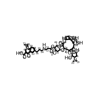 CO[C@]1(C)C[C@H](O[C@H]2[C@H](C)[C@@H](O[C@@H]3O[C@H](C)C[C@H](N(C)C)[C@H]3O)[C@](C)(O)C[C@@H](C)/C(=N\O)[C@@H](O)[C@@]3(O)CC[C@H]3OC(=O)[C@@H]2C)O[C@@H](C)[C@@H]1OC(=O)CCNCCCc1ccc2c(c1)c(=O)c(C(=O)O)cn2N(C)C